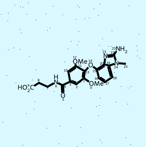 COc1cc(C(=O)NCCC(=O)O)cc(OC)c1Oc1cccc2c1nc(N)n2C